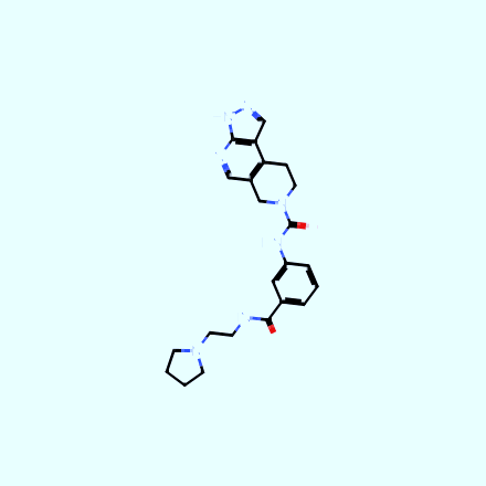 O=C(NCCN1CCCC1)c1cccc(NC(=O)N2CCc3c(cnc4[nH]ncc34)C2)c1